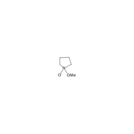 CO[N+]1([O-])CCCC1